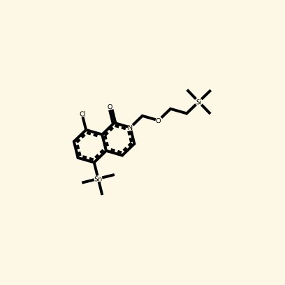 C[Si](C)(C)CCOCn1ccc2[c]([Sn]([CH3])([CH3])[CH3])ccc(Cl)c2c1=O